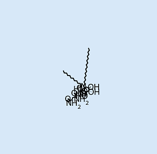 CCCCCCCCCCCCCCCCCCN(C(=O)CCCCCCCCCCC)[C@@]1(NC(=O)CNC(=O)[C@@H](N)CCC(N)=O)C[C@@H](O)[C@H](O)[C@@H](CO)O1